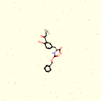 CCC(=O)c1cc(C[C@H](NC(=O)OCc2ccccc2)C(=O)O)ccc1O